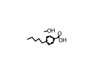 CCCCCc1ccc(C(=O)O)cc1.CO